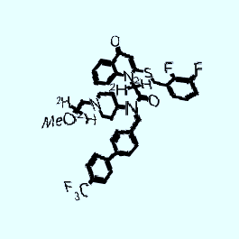 [2H]C([2H])(CN1CCC(N(Cc2ccc(-c3ccc(C(F)(F)F)cc3)cc2)C(=O)C([2H])([2H])n2c(SCc3cccc(F)c3F)cc(=O)c3ccccc32)CC1)OC